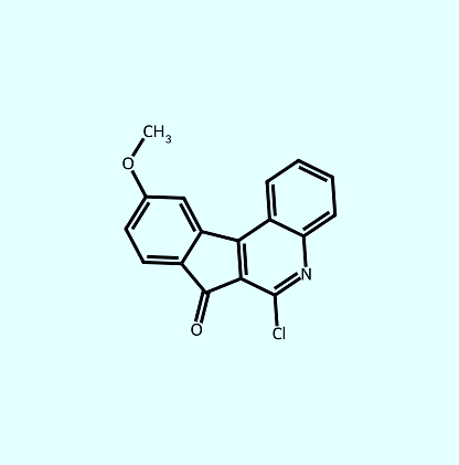 COc1ccc2c(c1)-c1c(c(Cl)nc3ccccc13)C2=O